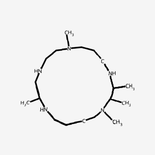 CC1CNCCN(C)CCCNC(C)C(C)N(C)CCCCN1